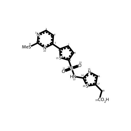 CSc1nccc(-c2ccc(S(=O)(=O)Nc3ncc(CC(=O)O)s3)s2)n1